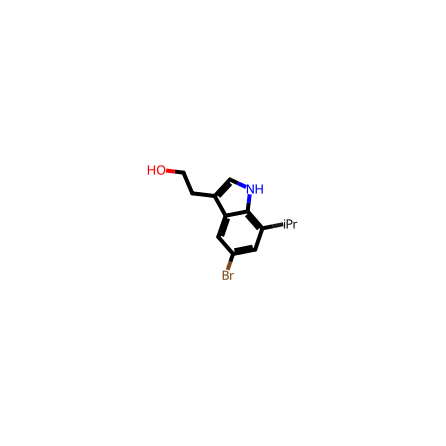 CC(C)c1cc(Br)cc2c(CCO)c[nH]c12